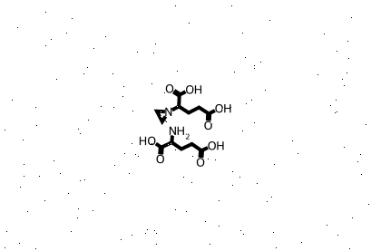 NC(CCC(=O)O)C(=O)O.O=C(O)CCC(C(=O)O)N1CC1